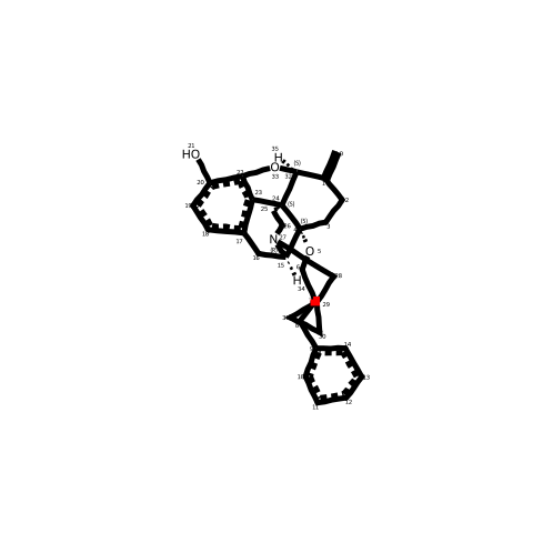 C=C1CC[C@@]2(OCCCc3ccccc3)[C@H]3Cc4ccc(O)c5c4[C@@]2(CCN3CC2CC2)[C@H]1O5